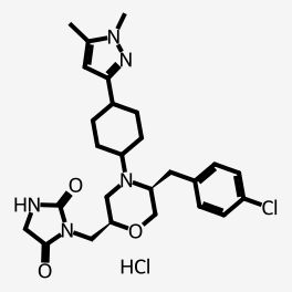 Cc1cc(C2CCC(N3C[C@H](CN4C(=O)CNC4=O)OC[C@@H]3Cc3ccc(Cl)cc3)CC2)nn1C.Cl